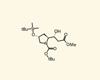 COC(=O)C[C@@H](O)[C@@H]1C[C@@H](O[Si](C)(C)C(C)(C)C)CN1C(=O)OC(C)(C)C